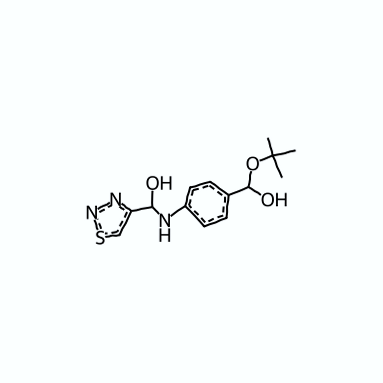 CC(C)(C)OC(O)c1ccc(NC(O)c2csnn2)cc1